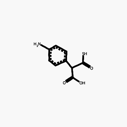 Nc1ccc(C(C(=O)O)C(=O)S)cc1